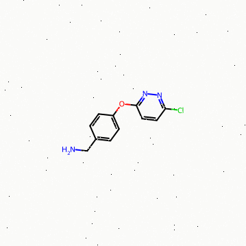 NCc1ccc(Oc2ccc(Cl)nn2)cc1